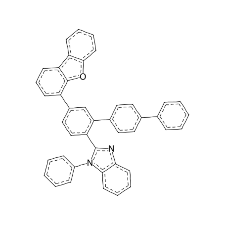 c1ccc(-c2ccc(-c3cc(-c4cccc5c4oc4ccccc45)ccc3-c3nc4ccccc4n3-c3ccccc3)cc2)cc1